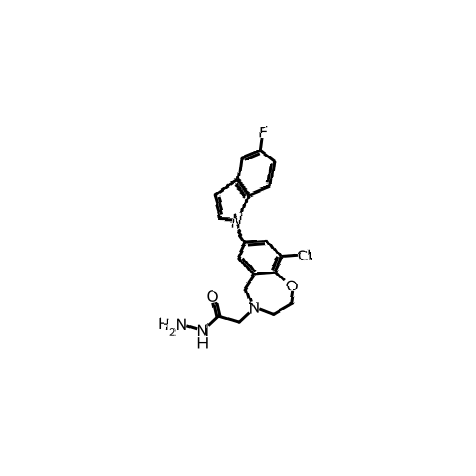 NNC(=O)CN1CCOc2c(Cl)cc(-n3ccc4cc(F)ccc43)cc2C1